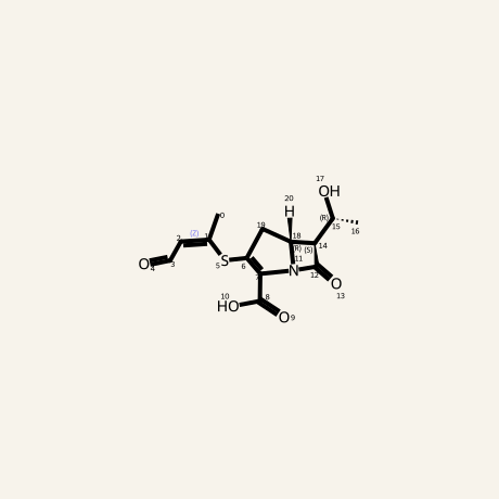 C/C(=C/C=O)SC1=C(C(=O)O)N2C(=O)[C@H]([C@@H](C)O)[C@H]2C1